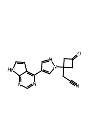 N#CCC1(n2cc(-c3ncnc4[nH]ccc34)cn2)CC(=O)C1